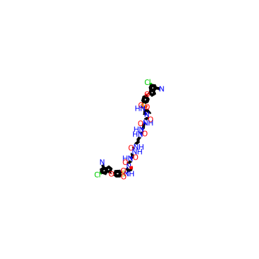 N#Cc1cc(Cl)cc2c1CC[C@H]2Oc1ccc(S(=O)(=O)N[C@@H]2CCN(C(=O)CNC(=O)CNC(=O)NCCCCNC(=O)NCC(=O)NCC(=O)N3CC[C@@H](NS(=O)(=O)c4ccc(O[C@@H]5CCc6c(C#N)cc(Cl)cc65)cc4)C3)C2)cc1